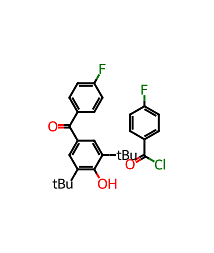 CC(C)(C)c1cc(C(=O)c2ccc(F)cc2)cc(C(C)(C)C)c1O.O=C(Cl)c1ccc(F)cc1